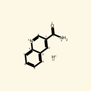 NC(=O)c1cnc2ccccc2c1.[H+]